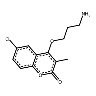 Cc1c(OCCCN)c2cc(Cl)ccc2oc1=O